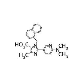 Cc1nc(-c2ccc(N(C)C)nc2)n(Cc2cccc3ccccc23)c1C(=O)O